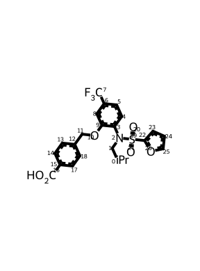 CC(C)CN(c1ccc(C(F)(F)F)cc1OCc1ccc(C(=O)O)cc1)S(=O)(=O)c1ccco1